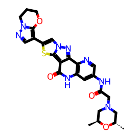 C[C@H]1CN(CC(=O)Nc2cnc3c(c2)[nH]c(=O)c2c3nn3cc(-c4cnn5c4OCCC5)sc23)C[C@H](C)O1